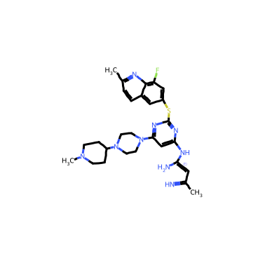 CC(=N)/C=C(\N)Nc1cc(N2CCN(C3CCN(C)CC3)CC2)nc(Sc2cc(F)c3nc(C)ccc3c2)n1